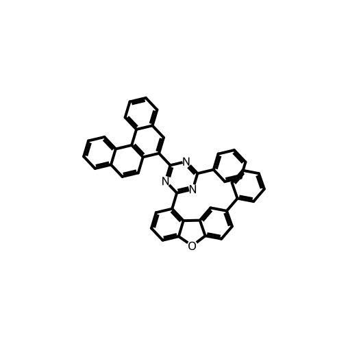 c1ccc(-c2ccc3oc4cccc(-c5nc(-c6ccccc6)nc(-c6cc7ccccc7c7c6ccc6ccccc67)n5)c4c3c2)cc1